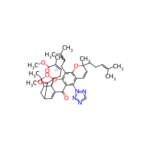 COC(=O)/C(C)=C\CC12OC(C)(C)C3CC(C=C4C(=O)c5c(c(CC=C(C)C)c6c(c5-n5ncnn5)C=CC(C)(CCC=C(C)C)O6)OC431)C2=O